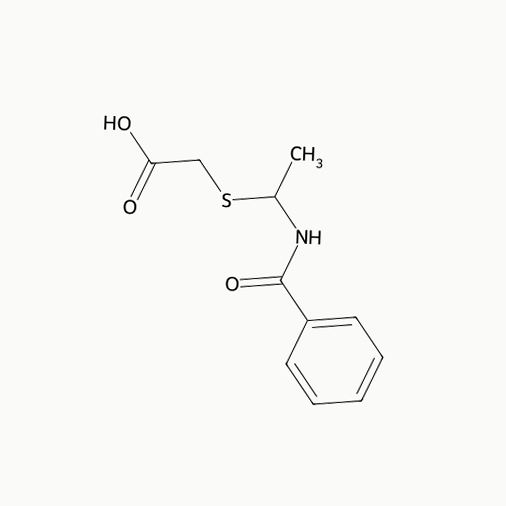 CC(NC(=O)c1ccccc1)SCC(=O)O